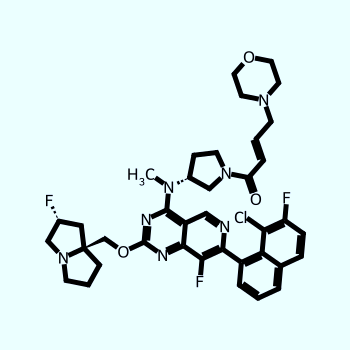 CN(c1nc(OC[C@@]23CCCN2C[C@H](F)C3)nc2c(F)c(-c3cccc4ccc(F)c(Cl)c34)ncc12)[C@@H]1CCN(C(=O)/C=C/CN2CCOCC2)C1